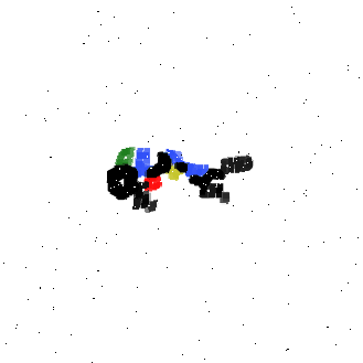 Cc1cccc(Cl)c1NC(=O)c1cnc(NCC(C)CCC=O)s1